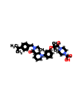 CCN(Cc1ccc(C(C)C)cc1)C(=O)C1CCCN(c2cccc(OC(C)(C)C(=O)N3CCN(C(=O)O)CC3)c2)C1